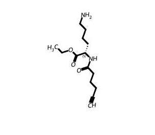 C#CCCCC(=O)N[C@@H](CCCCN)C(=O)OCC